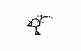 CC1CC1[C@]1(I)CC(C2CC2)C2C[C@@H]2C[C@@H]1O